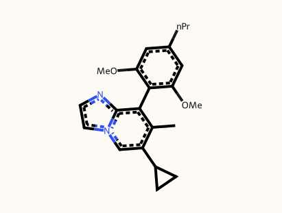 CCCc1cc(OC)c(-c2c(C)c(C3CC3)cn3ccnc23)c(OC)c1